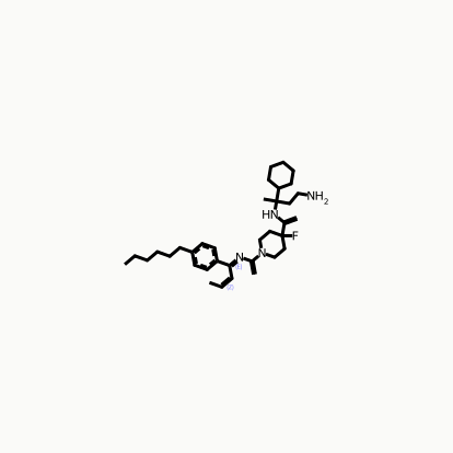 C=C(/N=C(\C=C/C)c1ccc(CCCCCC)cc1)N1CCC(F)(C(=C)NC(C)(CCN)C2CCCCC2)CC1